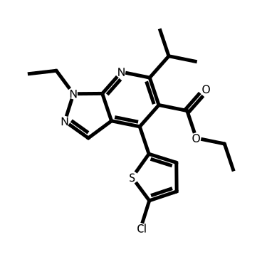 CCOC(=O)c1c(C(C)C)nc2c(cnn2CC)c1-c1ccc(Cl)s1